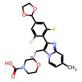 Cc1ccn2c(C[C@H]3CN(C(=O)O)CCO3)c(-c3c(F)cc(C4OCCO4)cc3F)nc2c1